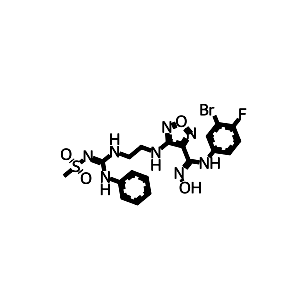 CS(=O)(=O)/N=C(/NCCNc1nonc1/C(=N/O)Nc1ccc(F)c(Br)c1)Nc1ccccc1